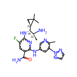 Cc1ncc(Nc2nc(N[C@@H]([C@H](C)N)[C@H]3CC3(C)C)c(F)cc2C(N)=O)cc1-n1nccn1